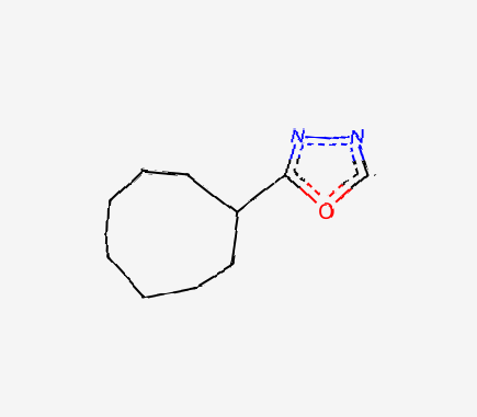 [c]1nnc(C2CCCCCCC2)o1